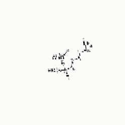 CNC.O=S(=O)(O)C(F)(F)CCCCCC(F)(F)F